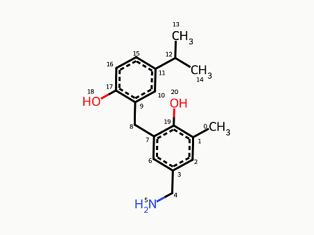 Cc1cc(CN)cc(Cc2cc(C(C)C)ccc2O)c1O